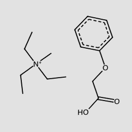 CC[N+](C)(CC)CC.O=C(O)COc1ccccc1